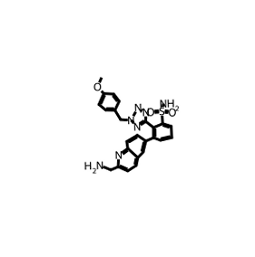 COc1ccc(Cn2nnc(-c3c(-c4ccc5nc(CN)ccc5c4)cccc3S(N)(=O)=O)n2)cc1